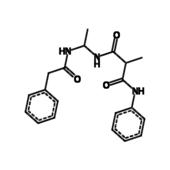 CC(NC(=O)Cc1ccccc1)NC(=O)C(C)C(=O)Nc1ccccc1